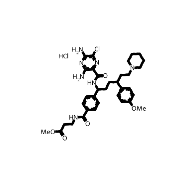 COC(=O)CCNC(=O)c1ccc(C(CCC(CCN2CCCCC2)c2ccc(OC)cc2)NC(=O)c2nc(Cl)c(N)nc2N)cc1.Cl